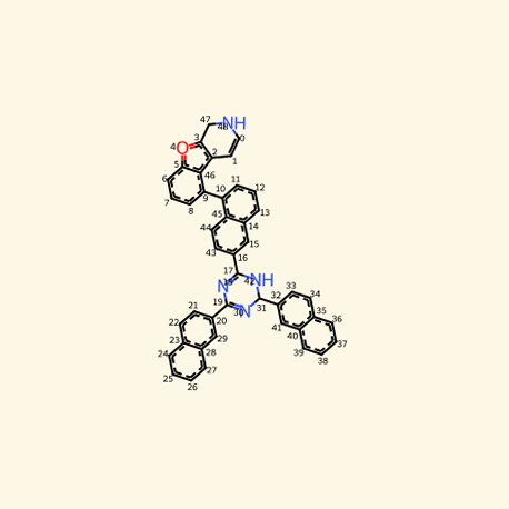 C1=Cc2c(oc3cccc(-c4cccc5cc(C6=NC(c7ccc8ccccc8c7)=NC(c7ccc8ccccc8c7)N6)ccc45)c23)CN1